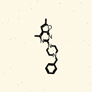 Cc1cc2c(C)nc(N3CCN(Cc4ccccc4)CC3)nc2o1